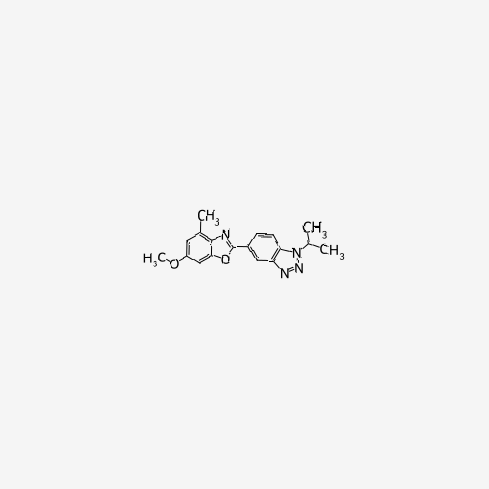 COc1cc(C)c2nc(-c3ccc4c(c3)nnn4C(C)C)oc2c1